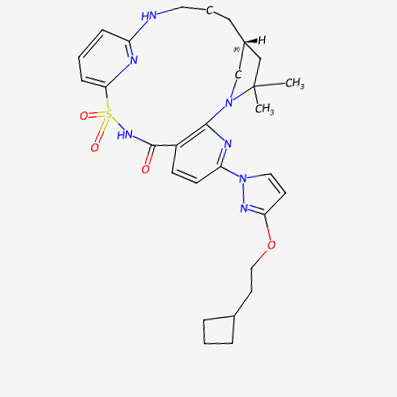 CC1(C)C[C@H]2CCCNc3cccc(n3)S(=O)(=O)NC(=O)c3ccc(-n4ccc(OCCC5CCC5)n4)nc3N1C2